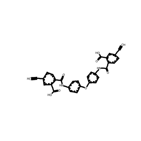 C#Cc1ccc(C(=O)Nc2ccc(Oc3ccc(NC(=O)c4ccc(C#C)cc4C(=O)O)cc3)cc2)c(C(=O)O)c1